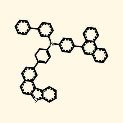 C1=C(c2ccc3ccc4sc5ccccc5c4c3c2)CCC(N(c2ccc(-c3cc4ccccc4c4ccccc34)cc2)c2cccc(-c3ccccc3)c2)=C1